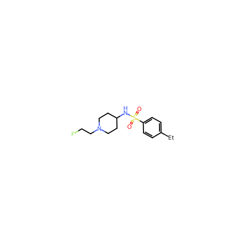 CCc1ccc(S(=O)(=O)NC2CCN(CCF)CC2)cc1